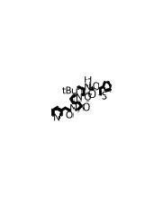 CC(C)(C)CC(NC(=O)Oc1csc2ccccc12)C(=O)N1CCC2C1C(=O)CN2C(=O)Cc1cccnc1